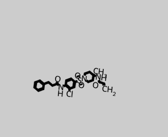 C=CC(=O)NC1(C)CCN(S(=O)(=O)c2ccc(NC(=O)CCc3ccccc3)c(Cl)c2)CC1